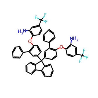 Nc1cc(C(F)(F)F)ccc1Oc1ccc(C2(c3ccc(Oc4ccc(C(F)(F)F)cc4N)c(-c4ccccc4)c3)c3ccccc3-c3ccccc32)cc1-c1ccccc1